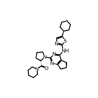 O=C([C@@H]1CCCN1c1nc2c(c(Nc3ncc(C4CCCCC4)s3)n1)CCC2)N1CCCCC1